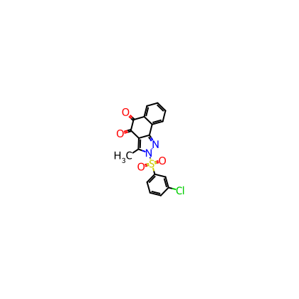 Cc1c2c(nn1S(=O)(=O)c1cccc(Cl)c1)-c1ccccc1C(=O)C2=O